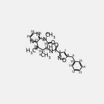 C[C@@H]1[C@H](NC(=O)c2cc(Cc3ccccc3)on2)C(=O)N(C)c2nccnc2[C@@H]1C